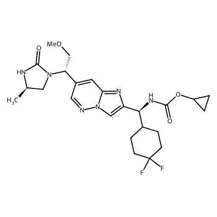 COC[C@H](c1cnn2cc([C@@H](NC(=O)OC3CC3)C3CCC(F)(F)CC3)nc2c1)N1C[C@@H](C)NC1=O